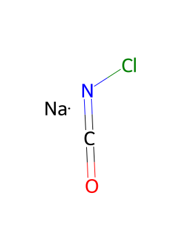 O=C=NCl.[Na]